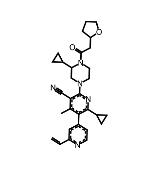 C=Cc1cc(-c2c(C3CC3)nc(N3CCN(C(=O)CC4CCCO4)C(C4CC4)C3)c(C#N)c2C)ccn1